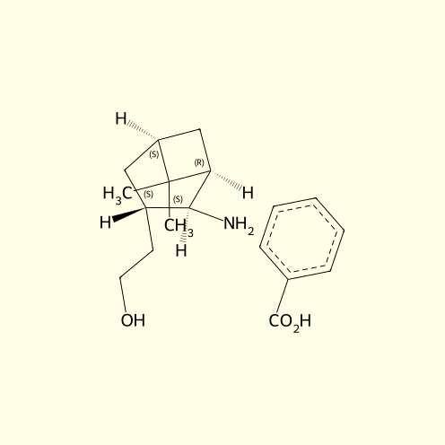 CC1(C)[C@H]2C[C@@H](CCO)[C@H](N)[C@@H]1C2.O=C(O)c1ccccc1